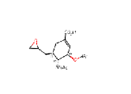 CC(=O)N[C@@H]1[C@@H](CC2CO2)CC(C(=O)O)=C[C@H]1OC(C)C